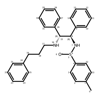 Cc1ccc([S+]([O-])N[C@H](c2ccccc2)[C@H](NCCCc2ccccc2)c2ccccc2)cc1